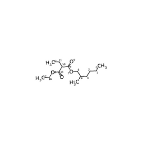 CCCCC(C)COC(=O)C(CC)C(=O)OCC